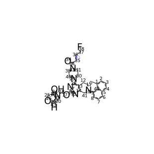 Cc1cccc2cccc(N3CCc4c(nc(OCN5C[C@@H]6C[C@@]5(O)CO6)nc4N4CCN(C(=O)/C=C/CF)CC4)C3)c12